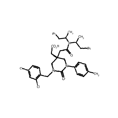 Cc1ccc(N2CC(CC(=O)O)(CC(=O)N(C(C)CC(C)C)C(C)CC(C)C)CN(Cc3ccc(Cl)cc3Cl)C2=O)cc1